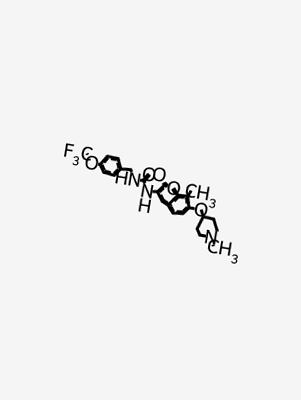 Cc1c(OC2CCN(C)CC2)ccc2cc(NC(=O)NCc3ccc(OC(F)(F)F)cc3)c(=O)oc12